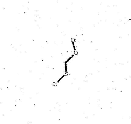 CCO[CH]SCC